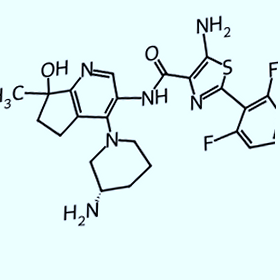 CC1(O)CCc2c1ncc(NC(=O)c1nc(-c3c(F)cccc3F)sc1N)c2N1CCC[C@H](N)C1